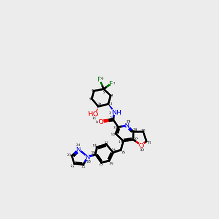 O=C(N[C@@H]1CC(F)(F)CC[C@H]1O)c1cc(Cc2ccc(-n3cccn3)cc2)c2c(n1)CCO2